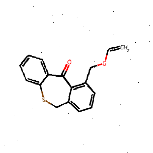 C=COCc1cccc2c1C(=O)c1ccccc1SC2